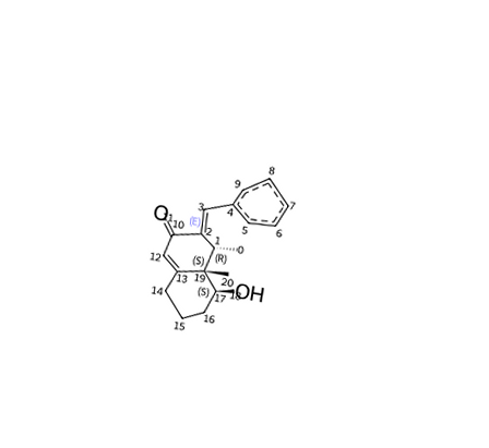 C[C@H]1/C(=C\c2ccccc2)C(=O)C=C2CCC[C@H](O)[C@]21C